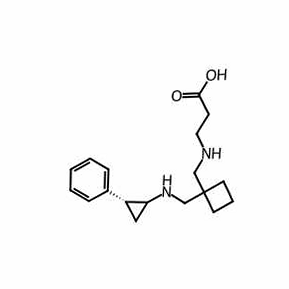 O=C(O)CCNCC1(CNC2C[C@@H]2c2ccccc2)CCC1